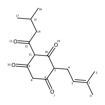 CC(C)=CCC1C(=O)CC(=O)C(C(=O)CC(C)C)C1=O